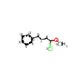 COC(Cl)CCCc1ccccc1